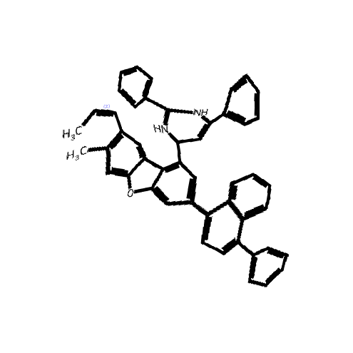 C/C=C\c1cc2c(cc1C)oc1cc(-c3ccc(-c4ccccc4)c4ccccc34)cc(C3C=C(c4ccccc4)NC(c4ccccc4)N3)c12